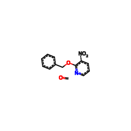 C=O.O=[N+]([O-])c1cccnc1OCc1ccccc1